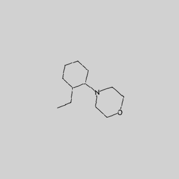 CCC1CCCCC1N1CCOCC1